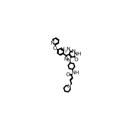 Nc1n[nH]c(=O)c2c1c(-c1ccc(Oc3ccccn3)cc1)nn2C1CCC(NC(=O)/C=C/CN2CCCCC2)CC1